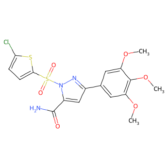 COc1cc(-c2cc(C(N)=O)n(S(=O)(=O)c3ccc(Cl)s3)n2)cc(OC)c1OC